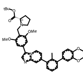 COc1cc(-c2cnc3cc(-c4cccc(-c5ccc6c(c5)OCCO6)c4C)ccn23)cc(OC)c1CN1CCC[C@H]1C(=O)OC(C)(C)C